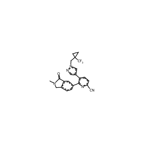 CN1Cc2ccc(-c3nc(C#N)ccc3-c3cnn(CC4(C(F)(F)F)CC4)c3)cc2C1=O